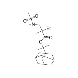 CCC(C)(CNS(C)(=O)=O)C(=O)OC(C)(C)C12CC3CC(CC(C3)C1)C2